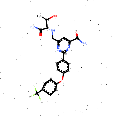 C[C@@H](O)[C@H](NCc1cc(C(N)=O)nc(-c2ccc(Oc3ccc(C(F)(F)F)cc3)cc2)n1)C(N)=O